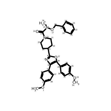 COc1ccc(-c2nc(C3CCN(C(=O)N(C)OCc4ccccc4)CC3)oc2-c2ccc(OC)cc2)cc1